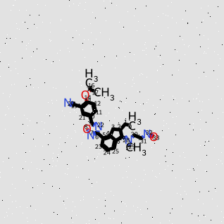 CCC1Cc2c(-c3noc(-c4ccc(OC(C)C)c(C#N)c4)n3)cccc2C1N(C)CCN=O